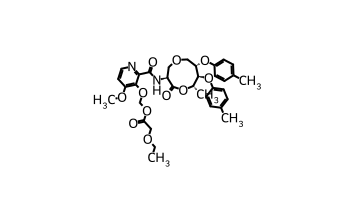 CCOCC(=O)OCOc1c(OC)ccnc1C(=O)N[C@H]1COC[C@H](Oc2ccc(C)cc2)[C@@H](Oc2ccc(C)cc2)[C@H](C)OC1=O